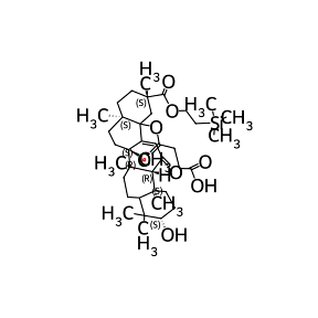 CC1(C)C2CC[C@]3(C)[C@H](C(=O)C=C4C5(OC(=O)CCC(=O)O)C[C@@](C)(C(=O)OCC[Si](C)(C)C)CC[C@]5(C)CC[C@]43C)[C@@]2(C)CC[C@@H]1O